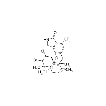 C[C@H]1CC[C@H]2C(C)(C)C(Br)C(Cl)C[C@]23Oc2c(cc(C(F)(F)F)c4c2CNC4=O)C[C@]13C